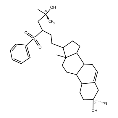 CC[C@]1(O)CCC2C(=CCC3C2CCC2(C)C(CCC(C[C@](C)(O)C(F)(F)F)S(=O)(=O)c4ccccc4)CCC32)C1